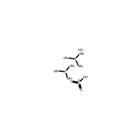 CCCCP(CCCC)CCCC.CCCCP(CCCC)CCCC.Cl.O=[SH](=O)O